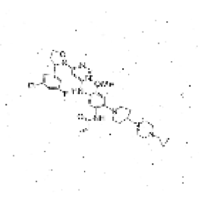 C=CC(=O)Nc1cc(Nc2cc(N3OCCC3c3cc(F)cc(Cl)c3)ncn2)c(OC)cc1N1CCC(N2CCN(C3CC3)CC2)CC1